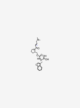 CN(C)C/C=C/C(=O)N1CCCC1COC(=O)N[C@@H](Cc1coc2ccccc12)B(O)O